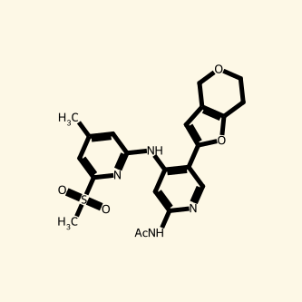 CC(=O)Nc1cc(Nc2cc(C)cc(S(C)(=O)=O)n2)c(-c2cc3c(o2)CCOC3)cn1